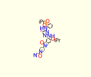 CC(C)Oc1cc2c(cc1Nc1ncc(I)c(Nc3ccccc3S(=O)(=O)C(C)C)n1)C(=O)N(C1CCN(C(=O)CN(C)C)CC1)C2